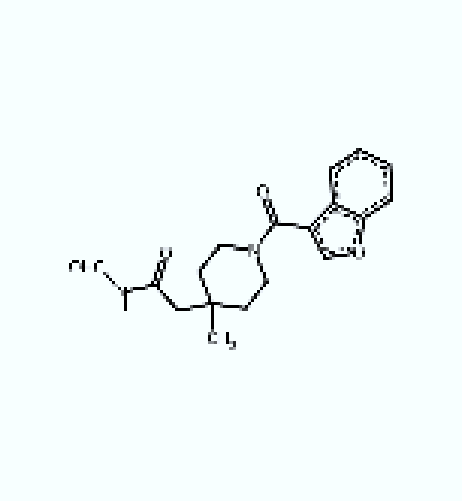 CC1(CC(=O)NC=O)CCN(C(=O)c2coc3ccccc23)CC1